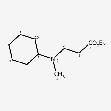 CCOC(=O)CCN(C)C1CCCCC1